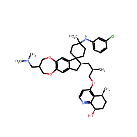 C[C@@H](COc1ccnc2c1[C@@H](C)CC[C@H]2O)C[C@H]1Cc2cc3c(cc2C12CCC(Nc1cccc(Cl)c1)(C(=O)O)CC2)OCC(CN(C)C)CO3